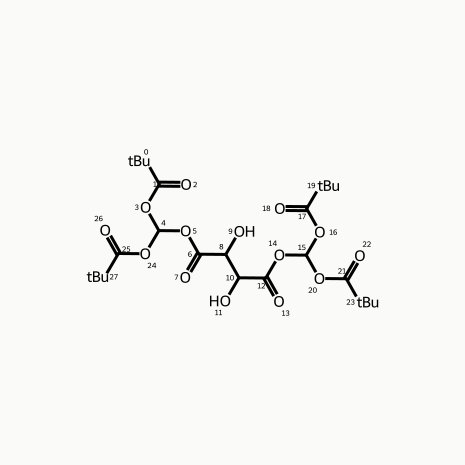 CC(C)(C)C(=O)OC(OC(=O)C(O)C(O)C(=O)OC(OC(=O)C(C)(C)C)OC(=O)C(C)(C)C)OC(=O)C(C)(C)C